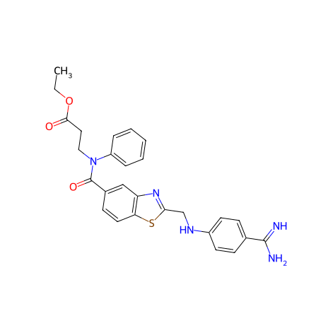 CCOC(=O)CCN(C(=O)c1ccc2sc(CNc3ccc(C(=N)N)cc3)nc2c1)c1ccccc1